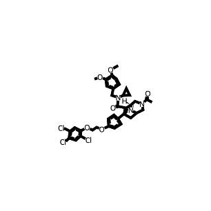 COc1ccc(CN(C(=O)C2=C(c3ccc(OCCOc4cc(Cl)c(Cl)cc4Cl)cc3)CC3CN(C(C)=O)C[C@H]2N3)C2CC2)cc1OC